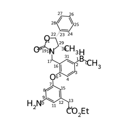 CBc1ccc(Oc2cc(N)cc(CC(=O)OCC)c2)c(CN2C(=O)O[C@H](c3ccccc3)[C@@H]2C)c1